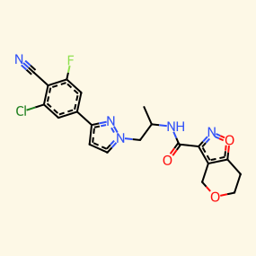 CC(Cn1ccc(-c2cc(F)c(C#N)c(Cl)c2)n1)NC(=O)c1noc2c1COCC2